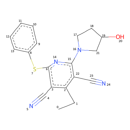 CCc1c(C#N)c(Sc2ccccc2)nc(N2CCC(O)C2)c1C#N